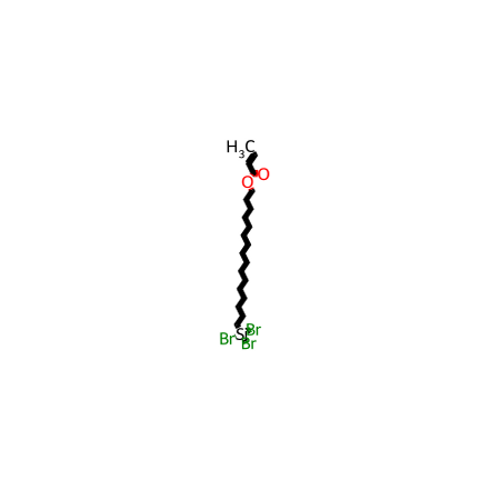 CC=CC(=O)OCCCCCCCCCCCCCCCC[Si](Br)(Br)Br